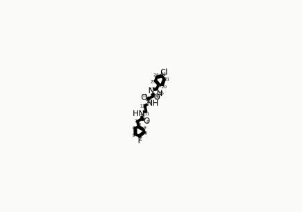 O=C(Cc1ccc(F)cc1)NCCNC(=O)c1nc(-c2ccc(Cl)cc2)no1